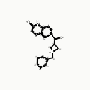 O=C(c1ccc2[nH]c(=O)ccc2c1)C1CN(Cc2ccccc2)C1